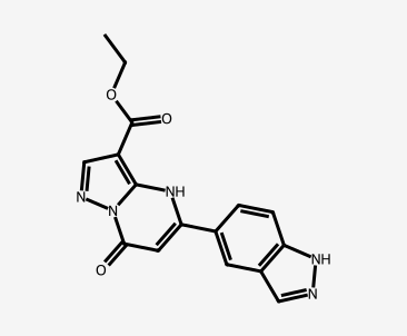 CCOC(=O)c1cnn2c(=O)cc(-c3ccc4[nH]ncc4c3)[nH]c12